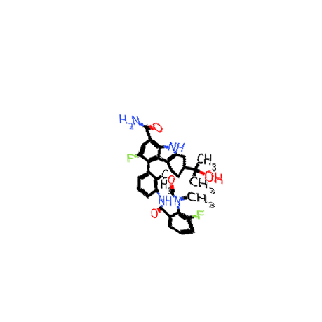 Cc1c(NC(=O)c2cccc(F)c2N(C)C=O)cccc1-c1c(F)cc(C(N)=O)c2[nH]c3c(c12)CCC(C(C)(C)O)C3